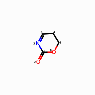 O=C1N=CCCO1